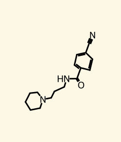 N#Cc1ccc(C(=O)NCCCN2CCCCC2)cc1